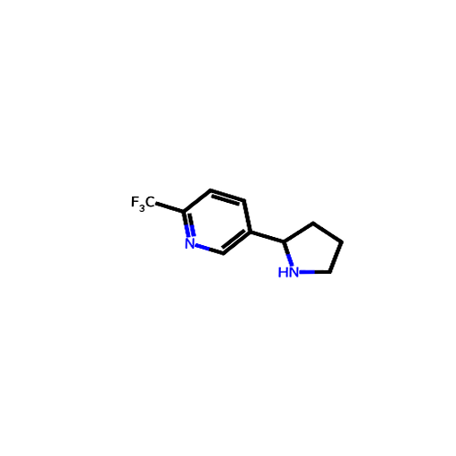 FC(F)(F)c1ccc(C2CCCN2)cn1